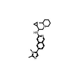 Cc1ncc(-c2ccc3cnc(NC(CN4CCCCC4C)C4CC4)cc3c2)n1C